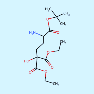 CCOC(=O)C(O)(CCC(N)C(=O)OC(C)(C)C)C(=O)OCC